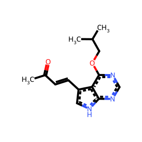 CC(=O)C=Cc1c[nH]c2ncnc(OCC(C)C)c12